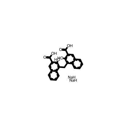 O=C(O)c1cc2ccccc2c(Cc2c(O)c(C(=O)O)cc3ccccc23)c1O.[NaH].[NaH]